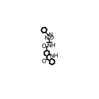 CC(C)(NC(=O)c1ccc2c(=O)c3ccccc3[nH]c2c1)c1nc(-c2ccccc2)no1